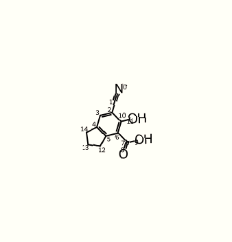 N#Cc1cc2c(c(C(=O)O)c1O)CCC2